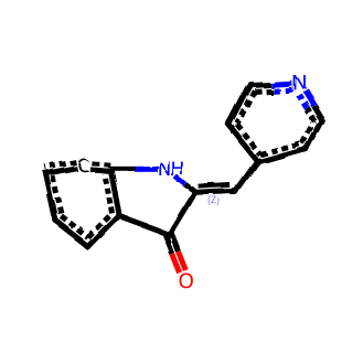 O=C1/C(=C/c2ccncc2)Nc2ccccc21